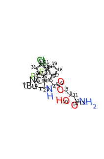 CC(C)(C)CC1NC(C(=O)OC[C@H](O)CC(N)=O)C(c2cccc(Cl)c2F)C1(C#N)c1ccc(Cl)cc1F